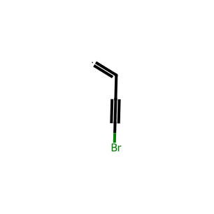 [CH]=CC#CBr